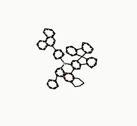 c1ccc(-c2ccc(N(c3ccc(-c4cc5ccccc5c5ccccc45)cc3)c3cc4c(cc3-c3cccc5c3CCCC5)-c3ccccc3C43c4ccccc4-c4ccccc43)cc2)cc1